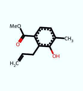 C=CCc1c(C(=O)OC)ccc(C)c1O